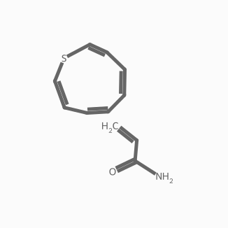 C=CC(N)=O.c1ccccsccc1